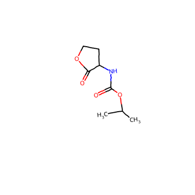 CC(C)OC(=O)NC1CCOC1=O